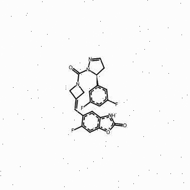 O=C(N1CC(=Cc2cc3[nH]c(=O)oc3cc2F)C1)N1N=CC[C@H]1c1cc(F)cc(F)c1